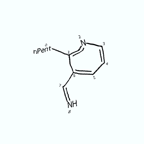 CCCCCc1ncccc1C=N